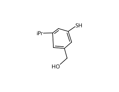 CC(C)c1cc(S)cc(CO)c1